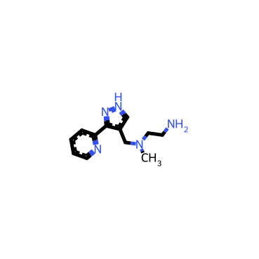 CN(CCN)Cc1c[nH]nc1-c1ccccn1